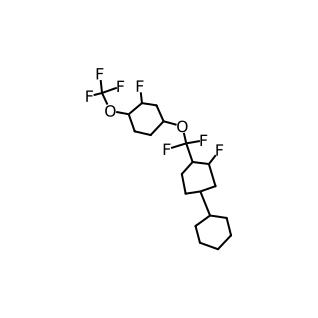 FC1CC(OC(F)(F)C2CCC(C3CCCCC3)CC2F)CCC1OC(F)(F)F